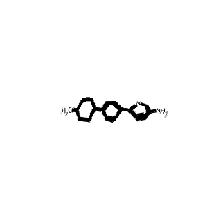 CC1CCC(c2ccc(-c3ccc(N)cn3)cc2)CC1